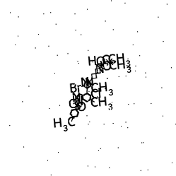 Cc1ccc(S(=O)(=O)n2ncc3c(-c4c(Br)nn(C5CC6(C5)CN(C(=O)OC(C)(C)C)C6)c4C)c(Cl)c(C)cc32)cc1